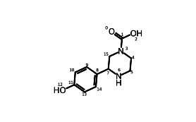 O=C(O)N1CCNC(c2ccc(O)cc2)C1